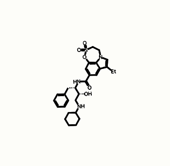 CCc1cn2c3c(cc(C(=O)N[C@@H](Cc4ccccc4)[C@H](O)CNC4CCCCC4)cc13)OS(=O)(=O)CC2